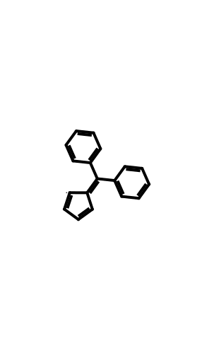 [C]1=CC=CC1=C(c1ccccc1)c1ccccc1